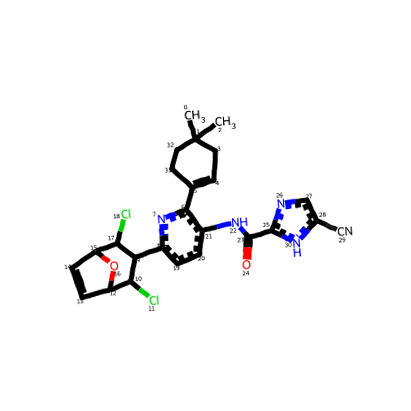 CC1(C)CC=C(c2nc(C3C(Cl)C4C=CC(O4)C3Cl)ccc2NC(=O)c2ncc(C#N)[nH]2)CC1